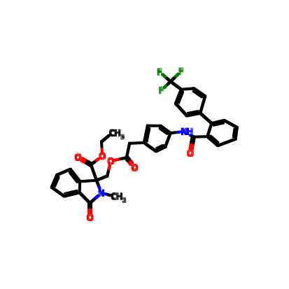 CCOC(=O)C1(COC(=O)Cc2ccc(NC(=O)c3ccccc3-c3ccc(C(F)(F)F)cc3)cc2)c2ccccc2C(=O)N1C